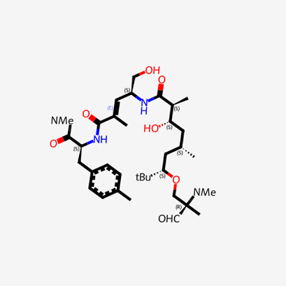 CNC(=O)[C@H](Cc1ccc(C)cc1)NC(=O)/C(C)=C/[C@@H](CO)NC(=O)[C@@H](C)[C@@H](O)C[C@H](C)C[C@H](OC[C@](C)(C=O)NC)C(C)(C)C